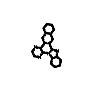 c1ccc2cc3c(cc2c1)c1nccnc1n1c2ccccc2nc31